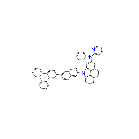 c1ccc(-n2c3ccccc3c3c2cc2ccc4cccc5c4c2c3n5-c2ccc3cc(-c4ccc5c6ccccc6c6ccccc6c5c4)ccc3c2)nc1